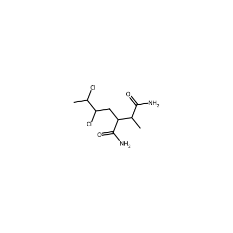 CC(Cl)C(Cl)CC(C(N)=O)C(C)C(N)=O